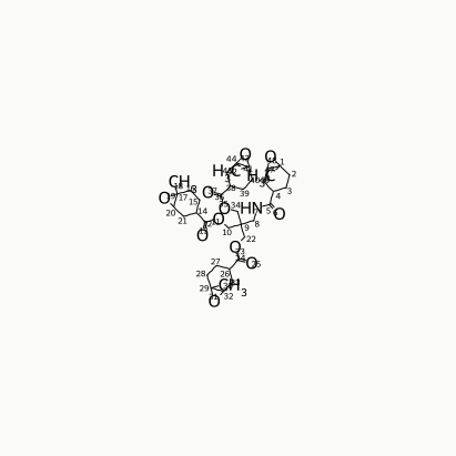 CC12CCC(C(=O)NCC(COC(=O)C3CCC4(C)OC4C3)(COC(=O)C3CCC4(C)OC4C3)COC(=O)C3CCC4(C)OC4C3)CC1O2